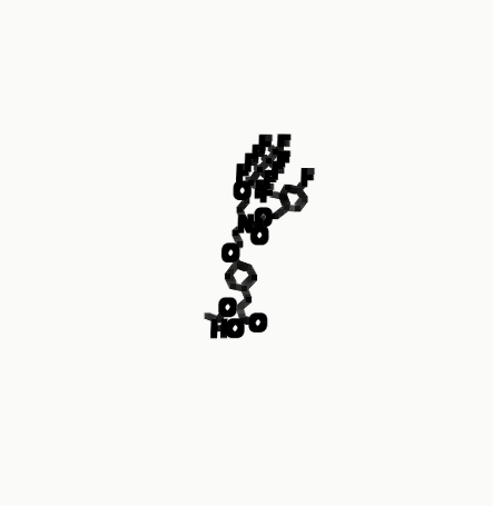 CCOC(Cc1ccc(OCCN(CCOC(F)(F)C(F)(F)C(F)(F)C(F)(F)F)C(=O)OCc2ccc(F)cc2F)cc1)C(=O)O